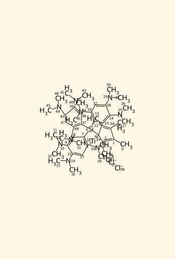 CC1=C(C)[C]([Ti+3])([Si](c2cc(N(C)C)c(N(C)C)cc2N(C)C)(c2cc(N(C)C)c(N(C)C)cc2N(C)C)c2cc(N(C)C)c(N(C)C)cc2N(C)C)C(C)=C1C.[Cl-].[Cl-].[Cl-]